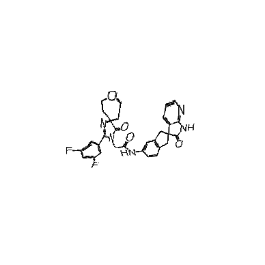 O=C(CN1C(=O)C2(CCOCC2)N=C1c1cc(F)cc(F)c1)Nc1ccc2c(c1)CC1(C2)C(=O)Nc2ncccc21